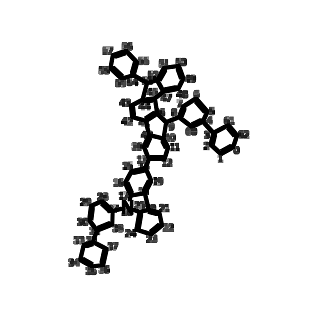 c1ccc(-c2cccc(C3c4ccc(-c5ccc6c(c5)c5ccccc5n6-c5cccc(-c6ccccc6)c5)cc4-c4ccc5c(c43)-c3ccccc3C5c3ccccc3)c2)cc1